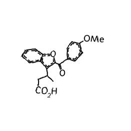 COc1ccc(C(=O)c2oc3ccccc3c2C(C)CC(=O)O)cc1